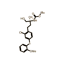 COc1ccccc1Sc1ccc(CC[C@@](C)(CO)NC(=O)OC(C)(C)C)c(Cl)c1